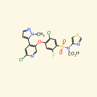 Cn1nccc1-c1cc(Cl)ncc1Oc1cc(F)c(S(=O)(=O)N(C(=O)O)c2cscn2)cc1Cl